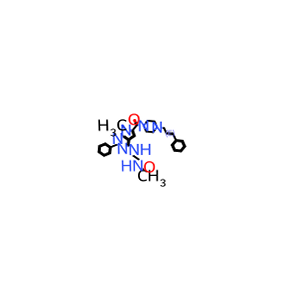 CC(=O)NCCNc1nc(-c2ccccc2)nc2c1cc(C(=O)N1CCN(C/C=C/c3ccccc3)CC1)n2C